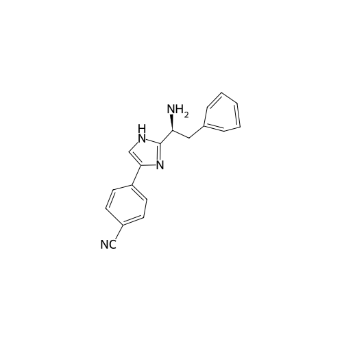 N#Cc1ccc(-c2c[nH]c([C@@H](N)Cc3ccccc3)n2)cc1